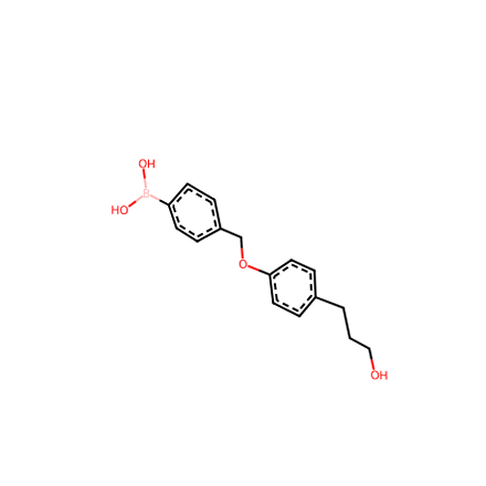 OCCCc1ccc(OCc2ccc(B(O)O)cc2)cc1